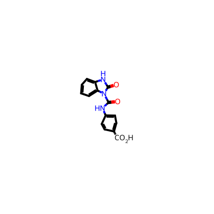 O=C(O)c1ccc(NC(=O)n2c(=O)[nH]c3ccccc32)cc1